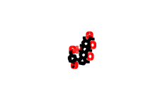 COc1ccc(CO)cc1-c1ccc(C)c2c1CC1(C)CC3(C)CC(C)=C(C(C)=O)C(=O)C3(C)C(C)=C1C2=O